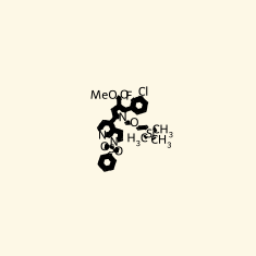 COC(=O)c1cc(-c2ccnc3c2ccn3S(=O)(=O)c2ccccc2)n(COCC[Si](C)(C)C)c1-c1cccc(Cl)c1F